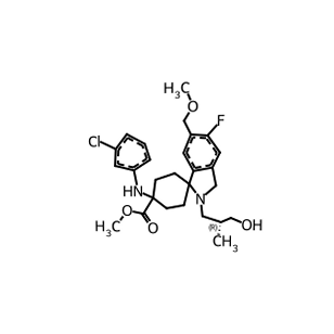 COCc1cc2c(cc1F)CN(C[C@@H](C)CO)C21CCC(Nc2cccc(Cl)c2)(C(=O)OC)CC1